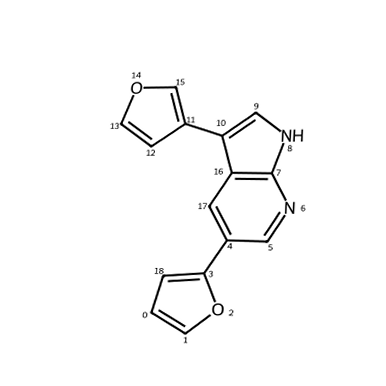 c1coc(-c2cnc3[nH]cc(-c4ccoc4)c3c2)c1